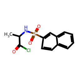 CC(NS(=O)(=O)c1ccc2ccccc2c1)C(=O)Cl